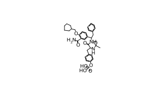 CC(=O)NC(Cc1ccc(OP(=O)(O)O)cc1)C(=O)NC(Cc1ccccc1)c1ccc(OCC2CCCCC2)c(C(N)=O)c1